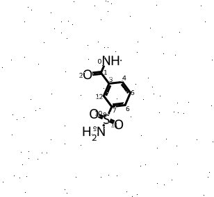 [NH]C(=O)c1cccc(S(N)(=O)=O)c1